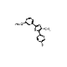 COc1cccc(-c2nc(C)c(-c3ccc(F)cc3)s2)c1